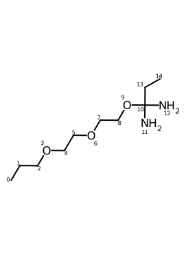 CCCOCCOCCOC(N)(N)CC